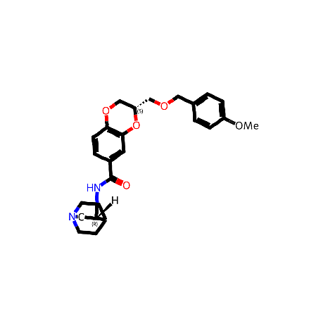 COc1ccc(COC[C@H]2COc3ccc(C(=O)N[C@H]4CN5CCC4CC5)cc3O2)cc1